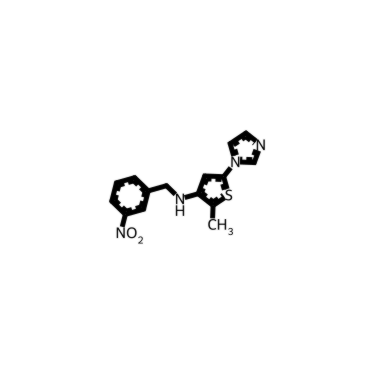 Cc1sc(-n2ccnc2)cc1NCc1cccc([N+](=O)[O-])c1